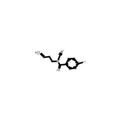 C=CCCN(C#N)C(=O)c1ccc(I)cc1